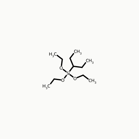 CCO[Si](OCC)(OCC)[C](CC)CC